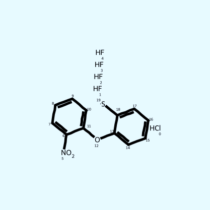 Cl.F.F.F.F.O=[N+]([O-])c1ccccc1Oc1ccccc1[S]